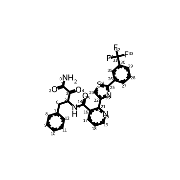 NC(=O)C(=O)C(Cc1ccccc1)NC(=O)c1cccnc1-c1csc(-c2cccc(C(F)(F)F)c2)n1